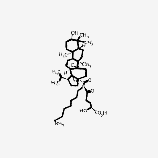 C=C(C)[C@@H]1CC[C@]2(C(=O)N(CCCCCCCN)C(=O)CC[C@H](O)C(=O)O)CC[C@]3(C)[C@H](CCC4[C@@]5(C)CC[C@H](O)C(C)(C)[C@@H]5CC[C@]43C)[C@@H]12